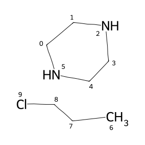 C1CNCCN1.CCCCl